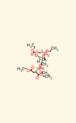 CCOC(=O)CC(SP(=S)(OC)OC)C(=O)OCC.CCOP(=S)(OCC)SCSP(=S)(OCC)OCC